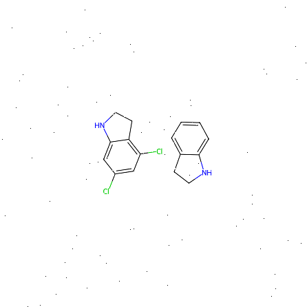 Clc1cc(Cl)c2c(c1)NCC2.c1ccc2c(c1)CCN2